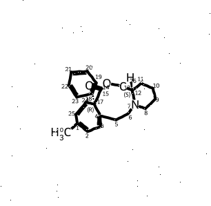 CC1=CC=C2CCN3CCCC[C@H]3COC(=O)[C@]2(c2ccccc2)C=C1